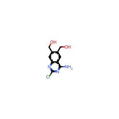 Nc1nc(Cl)nc2cc(CO)c(CO)cc12